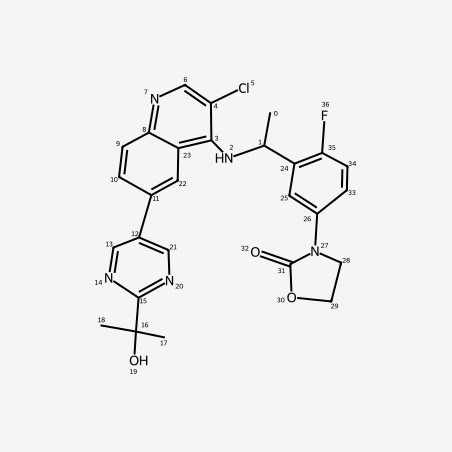 CC(Nc1c(Cl)cnc2ccc(-c3cnc(C(C)(C)O)nc3)cc12)c1cc(N2CCOC2=O)ccc1F